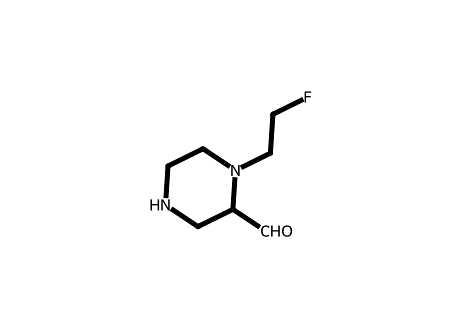 O=CC1CNCCN1CCF